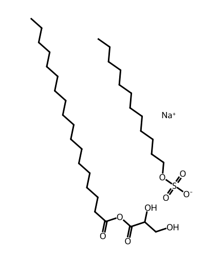 CCCCCCCCCCCCCCCCCC(=O)OC(=O)C(O)CO.CCCCCCCCCCCCOS(=O)(=O)[O-].[Na+]